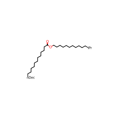 CCCCCCCCCCCCCCCCCCCCCC(=O)OCCCCCCCCCCCC(C)C